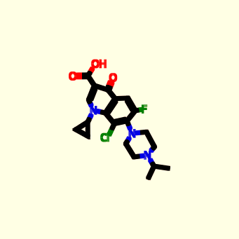 CC(C)N1CCN(c2c(F)cc3c(=O)c(C(=O)O)cn(C4CC4)c3c2Cl)CC1